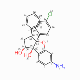 Nc1ccc2c(c1)O[C@@]1(c3ccc(Cl)cc3)[C@H](c3ccccc3)C[C@H](O)[C@@]21O